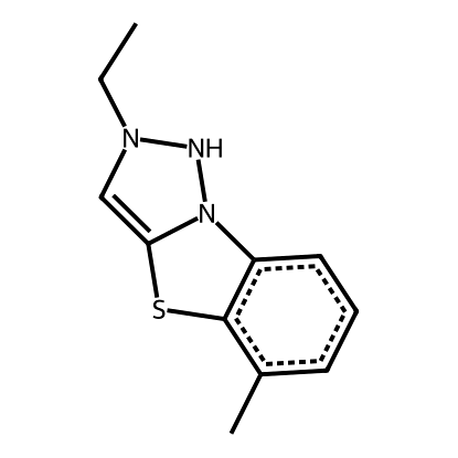 CCN1C=C2Sc3c(C)cccc3N2N1